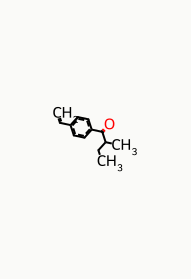 C=Cc1ccc(C(=O)C(C)CC)cc1